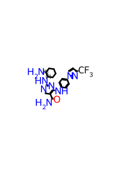 NC(=O)c1cnc(N[C@@H]2CCCC[C@@H]2N)nc1Nc1ccc(-n2ccc(C(F)(F)F)n2)cc1